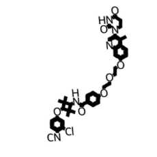 Cc1c(N2CCC(=O)NC2=O)cnc2cc(OCCOCCOc3ccc(C(=O)NC4C(C)(C)C(Oc5ccc(C#N)c(Cl)c5)C4(C)C)cc3)ccc12